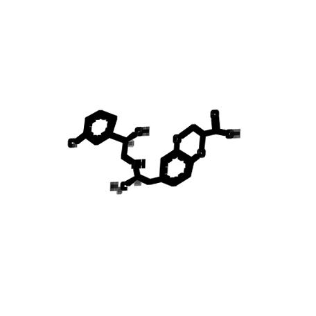 C[C@H](Cc1ccc2c(c1)OCC(C(=O)O)O2)NC[C@H](O)c1cccc(Cl)c1